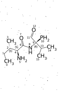 CC[C@H](C)[C@H](N)C(=O)N[C@](P)(C=O)C(C)C